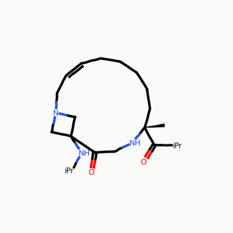 CC(C)NC12CN(C/C=C\CCCCC[C@](C)(C(=O)C(C)C)NCC1=O)C2